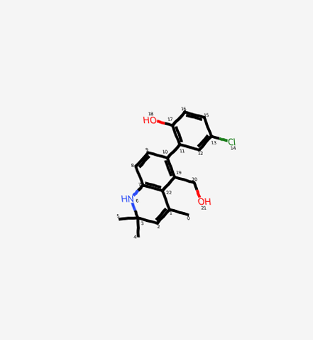 CC1=CC(C)(C)Nc2ccc(-c3cc(Cl)ccc3O)c(CO)c21